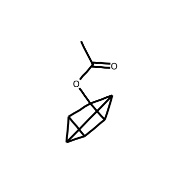 CC(=O)OC12C3C4C3C1C42